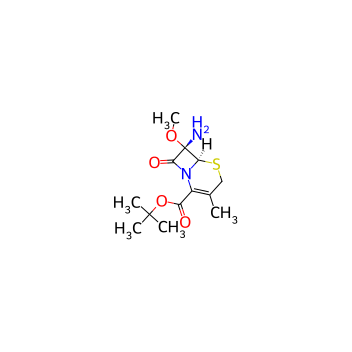 CO[C@@]1(N)C(=O)N2C(C(=O)OC(C)(C)C)=C(C)CS[C@@H]21